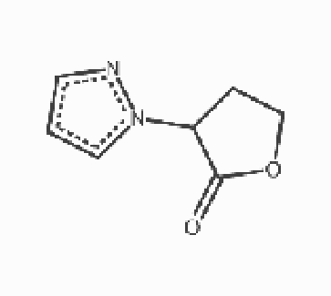 O=C1OCCC1n1cccn1